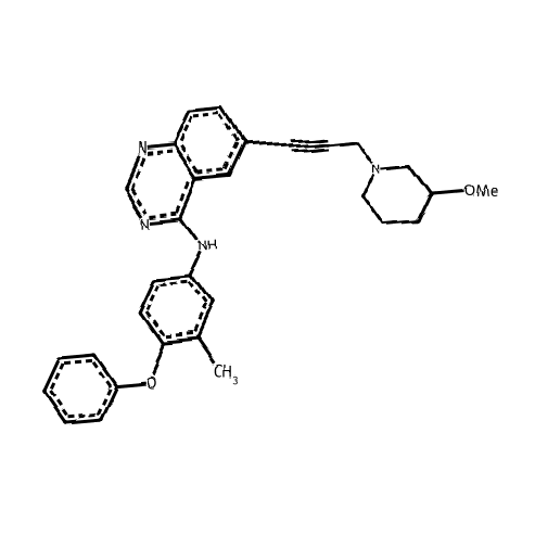 COC1CCCN(CC#Cc2ccc3ncnc(Nc4ccc(Oc5ccccc5)c(C)c4)c3c2)C1